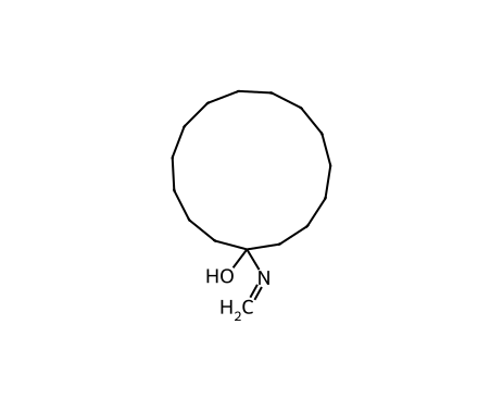 C=NC1(O)CCCCCCCCCCCCCC1